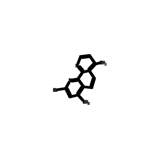 CCc1cc(C)c2ccc3c(C)ccnc3c2n1